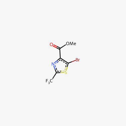 COC(=O)c1nc(C(F)(F)F)sc1Br